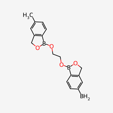 Bc1ccc2c(c1)COB2OCCOB1OCc2cc(C)ccc21